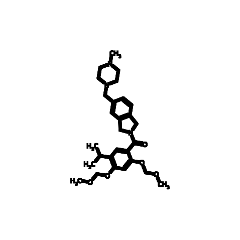 COCOc1cc(OCOC)c(C(C)C)cc1C(=O)N1Cc2ccc(CN3CCN(C)CC3)cc2C1